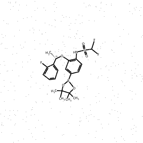 C[C@H](Oc1cc(B2OC(C)(C)C(C)(C)O2)ccc1NS(=O)(=O)C(F)F)c1ccccc1F